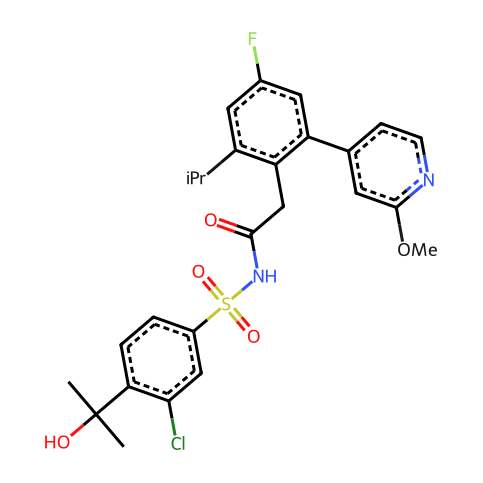 COc1cc(-c2cc(F)cc(C(C)C)c2CC(=O)NS(=O)(=O)c2ccc(C(C)(C)O)c(Cl)c2)ccn1